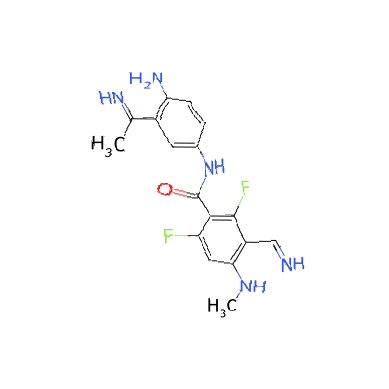 CNc1cc(F)c(C(=O)Nc2ccc(N)c(C(C)=N)c2)c(F)c1C=N